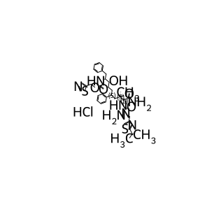 CC(C)c1nc(CN(N)C(=O)N[C@H](C(N)=O)[C@@H](C)C[C@H](CCC(O)C(Cc2ccccc2)NC(=O)OCc2cncs2)c2ccccc2)cs1.Cl